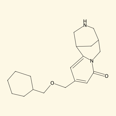 O=c1cc(COCC2CCCCC2)cc2n1CC1CNCC2C1